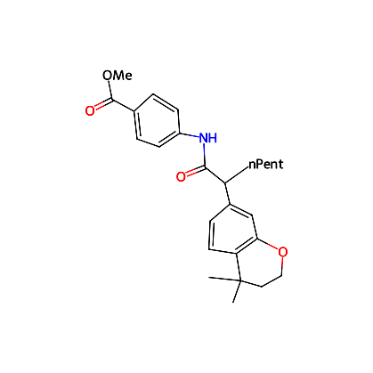 CCCCCC(C(=O)Nc1ccc(C(=O)OC)cc1)c1ccc2c(c1)OCCC2(C)C